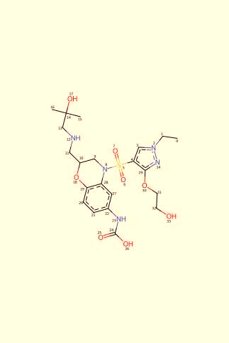 CCn1cc(S(=O)(=O)N2CC(CNCC(C)(C)O)Oc3ccc(NC(=O)O)cc32)c(OCCO)n1